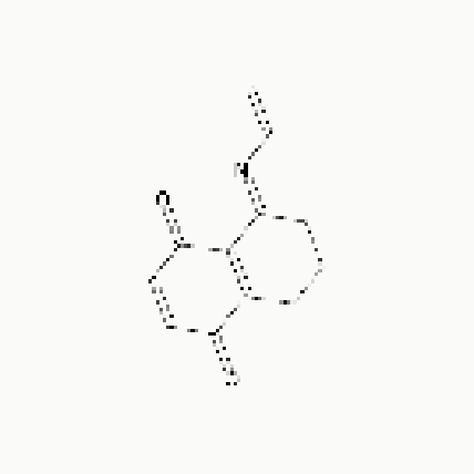 C=CN=C1CCCC2=C1C(=O)C=CC2=O